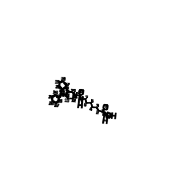 O=C(CCCCCCNC(=O)N1CCc2c(c3ccccc3n2-c2ccccc2)C1)NO